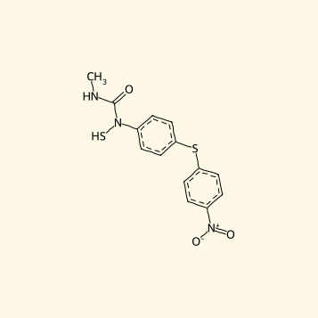 CNC(=O)N(S)c1ccc(Sc2ccc([N+](=O)[O-])cc2)cc1